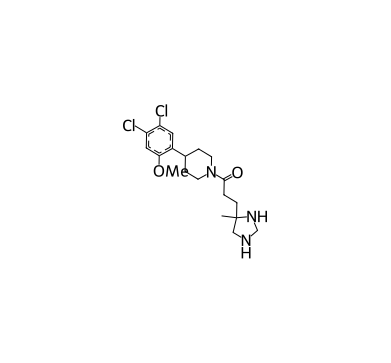 COc1cc(Cl)c(Cl)cc1C1CCN(C(=O)CCC2(C)CNCN2)CC1